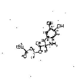 C[C@@H](OC(=O)C(C)(C)C)OC(=O)C(C)(N)Cc1ccc(O)c(O)c1